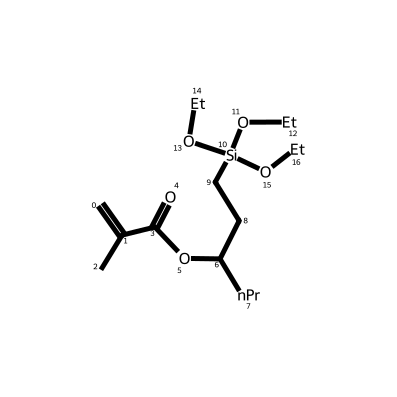 C=C(C)C(=O)OC(CCC)CC[Si](OCC)(OCC)OCC